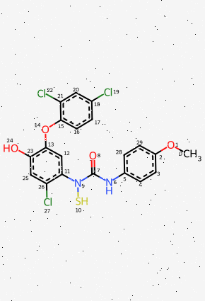 COc1ccc(NC(=O)N(S)c2cc(Oc3ccc(Cl)cc3Cl)c(O)cc2Cl)cc1